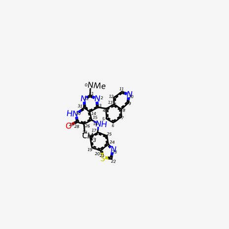 CNc1nc(-c2cccc3cnccc23)c2c(Nc3ccc4scnc4c3)c(C)c(=O)[nH]c2n1